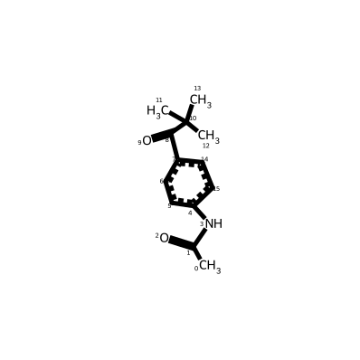 CC(=O)Nc1ccc(C(=O)C(C)(C)C)cc1